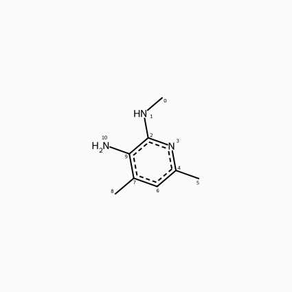 CNc1nc(C)cc(C)c1N